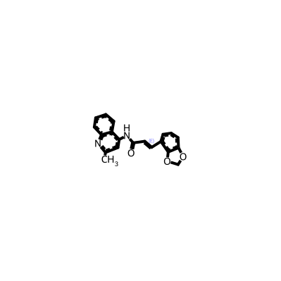 Cc1cc(NC(=O)/C=C/c2cccc3c2OCO3)c2ccccc2n1